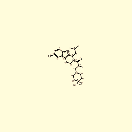 CC(C)CC1c2[nH]c3ccc(Cl)cc3c2CCN1C(=O)C(C)CN1CCC(F)(F)CC1